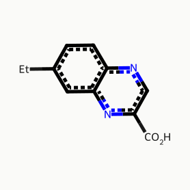 CCc1ccc2ncc(C(=O)O)nc2c1